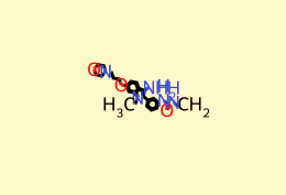 C=CNC(=O)Nc1cccc(-c2c(N)c3ccc(OCCCN4CCOCC4)cc3n2CC)c1